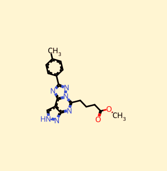 COC(=O)CCCc1nc2n[nH]cc2c2nc(-c3ccc(C)cc3)nn12